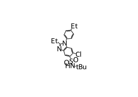 [CH2]Cc1ccc(-n2c(CC)nc3cc(S(=O)(=O)NC(C)(C)C)c(Cl)cc32)cc1